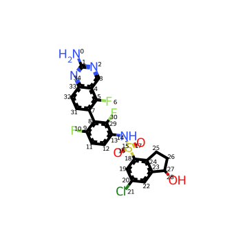 Nc1ncc2c(F)c(-c3c(F)ccc(NS(=O)(=O)c4cc(Cl)cc5c4CCC5O)c3F)ccc2n1